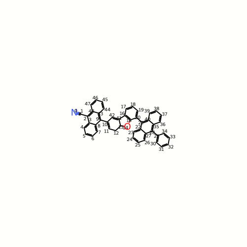 N#Cc1c2ccccc2c(C2=CCC3Oc4c(cccc4-c4c5ccccc5c(-c5ccccc5)c5ccccc45)C3=C2)c2ccccc12